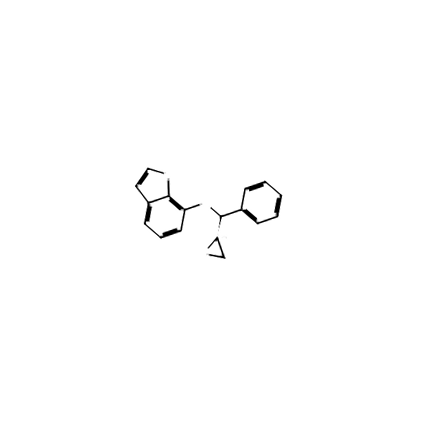 c1ccc(C(Oc2cccc3ccsc23)[C@H]2CO2)cc1